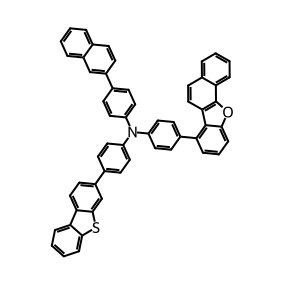 c1ccc2cc(-c3ccc(N(c4ccc(-c5ccc6c(c5)sc5ccccc56)cc4)c4ccc(-c5cccc6oc7c8ccccc8ccc7c56)cc4)cc3)ccc2c1